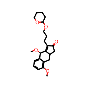 COc1cccc2c1CC1CC(=O)C(CCCOC3CCCCO3)=C1[C@@H]2OC